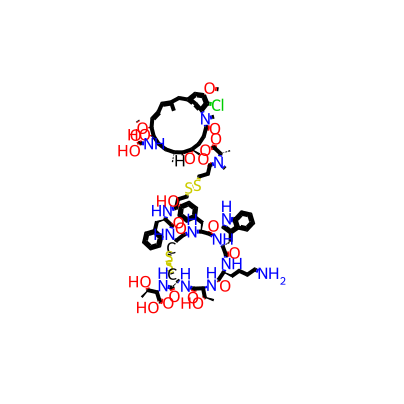 COc1cc2cc(c1Cl)N(C)C(=O)C[C@H](OC(=O)[C@H](C)N(C)C(=O)CCSSCCCN[C@H](Cc1ccccc1)C(=O)N[C@H]1CSSC[C@@H](C(=O)N[C@H](C(=O)O)[C@@H](C)O)NC(=O)[C@H]([C@@H](C)O)NC(=O)[C@H](CCCCN)NC(=O)[C@@H](Cc3c[nH]c4ccccc34)NC(=O)[C@H](Cc3ccc(O)cc3)NC1=O)[C@]1(C)O[C@H]1[C@H](C)CC[C@@](O)(NC(=O)O)[C@H](OC)/C=C/C=C(\C)C2